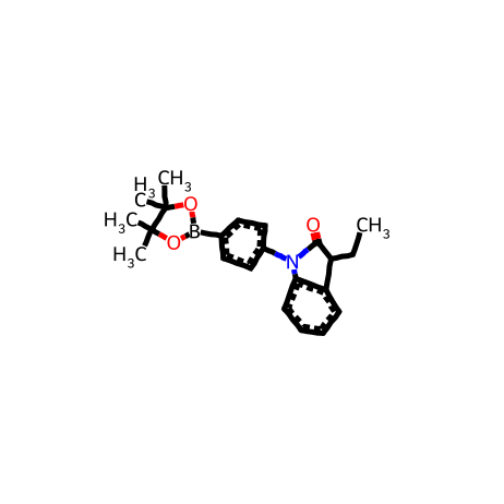 CCC1C(=O)N(c2ccc(B3OC(C)(C)C(C)(C)O3)cc2)c2ccccc21